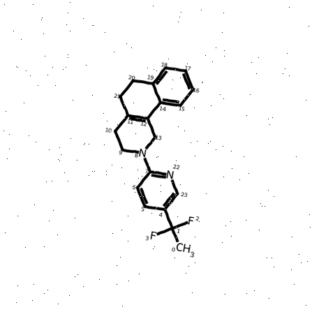 CC(F)(F)c1ccc(N2CCC3=C(C2)c2ccccc2CC3)nc1